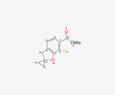 COC(=O)c1ccc2c(c1F)OC1(CC1)C2